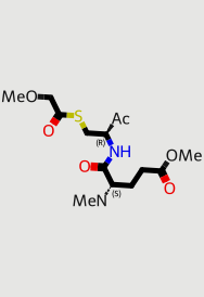 CN[C@@H](CCC(=O)OC)C(=O)N[C@@H](CSC(=O)COC)C(C)=O